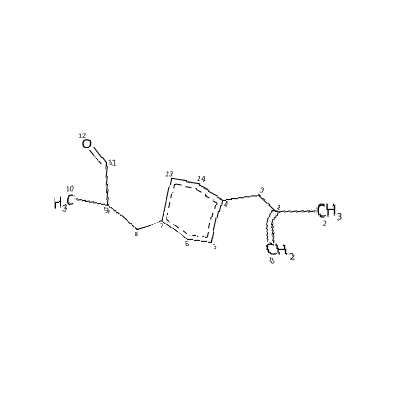 C=C(C)Cc1ccc(CC(C)C=O)cc1